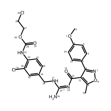 COc1ccc(-c2noc(C)c2C(=O)/N=C(/N)NCc2ccc(NC(=O)OCCCl)c(Cl)c2)cc1